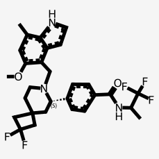 COc1cc(C)c2[nH]ccc2c1CN1CCC2(C[C@H]1c1ccc(C(=O)NC(C)C(F)(F)F)cc1)CC(F)(F)C2